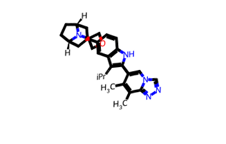 Cc1c(-c2[nH]c3ccc(C4C[C@H]5CC[C@@H](C4)N5C4COC4)cc3c2C(C)C)cn2cnnc2c1C